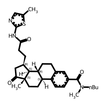 CCCCN(C)C(=O)c1ccc2c(c1)CC[C@H]1[C@@H]3[C@H](CCC(=O)Nc4ncc(C)s4)CC(=O)[C@@]3(C)CC[C@H]21